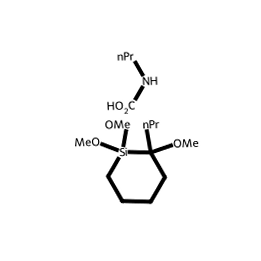 CCCC1(OC)CCCC[Si]1(OC)OC.CCCNC(=O)O